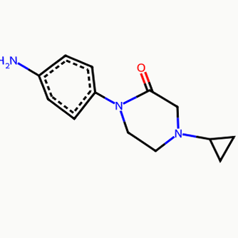 Nc1ccc(N2CCN(C3CC3)CC2=O)cc1